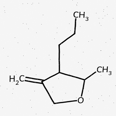 C=C1COC(C)C1CCC